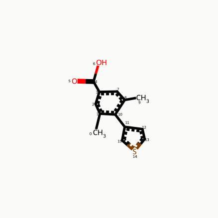 Cc1cc(C(=O)O)cc(C)c1-c1ccsc1